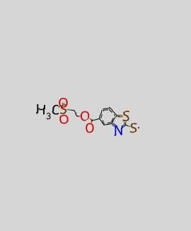 CS(=O)(=O)CCOC(=O)c1ccc2sc([S])nc2c1